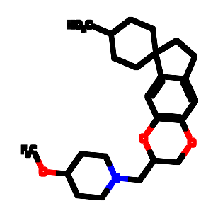 O=C(O)C1CCC2(CCc3cc4c(cc32)OC(CN2CCC(OC(F)(F)F)CC2)CO4)CC1